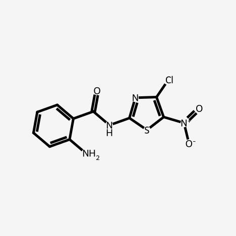 Nc1ccccc1C(=O)Nc1nc(Cl)c([N+](=O)[O-])s1